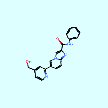 O=C(Nc1ccccc1)c1cn2cc(-c3cc(CO)ccn3)ccc2n1